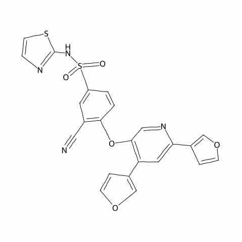 N#Cc1cc(S(=O)(=O)Nc2nccs2)ccc1Oc1cnc(-c2ccoc2)cc1-c1ccoc1